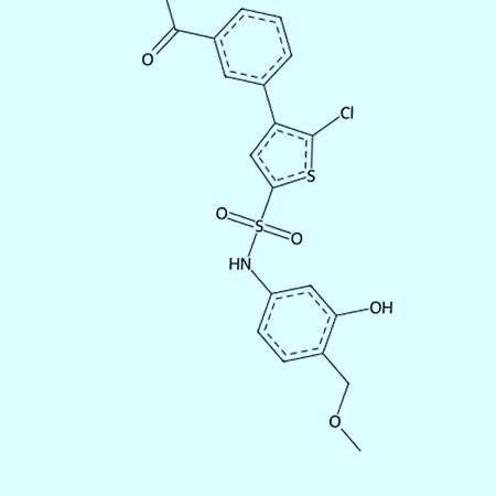 COCc1ccc(NS(=O)(=O)c2cc(-c3cccc(C(=O)O)c3)c(Cl)s2)cc1O